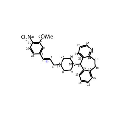 COc1cc(/C=C/CN2CCN(C3c4ccccc4CCc4ncccc43)CC2)ccc1[N+](=O)[O-]